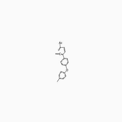 C=C=C(/C=C\C(=C)C(C)=O)c1ccc(Oc2ccc(C)cc2)cc1